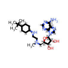 CN(CCNC1CCC(C(C)(C)C)CC1)C[C@H]1O[C@@H](n2cnc3c(N)ncnc32)[C@H](O)[C@@H]1O